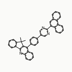 CC1(C)c2ccccc2-c2nc3ccccc3c(-c3ccc(-c4cnc(-c5cc6ccccc6c6ccccc56)nc4)cc3)c21